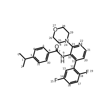 CC(C)c1ccc(C(=O)Nc2c(-c3cc(F)ccc3F)ccnc2N2CCOCC2)cc1